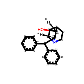 O[C@@H]1C2CCN(CC2)[C@@H]1C(c1ccccc1)c1ccccc1